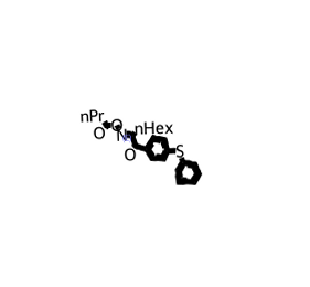 CCCCCC/C(=N\OC(=O)CCC)C(=O)c1ccc(Sc2ccccc2)cc1